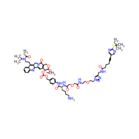 CC[C@@]1(OC(=O)OCc2ccc(NC(=O)[C@H](CCCCN)NC(=O)COCC(=O)NCCOCCn3cc(CNC(=O)CCCC#Cc4cnc(SC(C)(C)C)nc4)nn3)cc2)C(=O)OCc2c1cc1n(c2=O)Cc2c-1nc1ccccc1c2CCN(C(C)=O)C(C)C